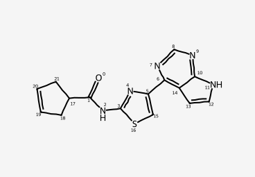 O=C(Nc1nc(-c2ncnc3[nH]ccc23)cs1)C1CC=CC1